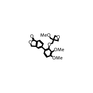 COCC1(COc2c(-c3ccc4c(c3)COC4=O)ccc(OC)c2OC)COC1